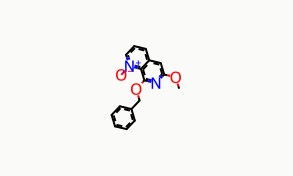 COc1cc2ccc[n+]([O-])c2c(OCc2ccccc2)n1